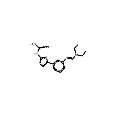 CCN(/C=N/c1cccc(-c2csc(NC(=N)N)n2)c1)CC